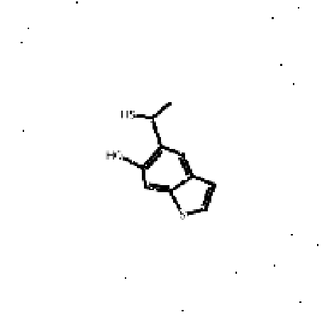 CC(S)c1cc2ccsc2cc1O